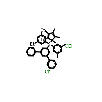 CCc1cc(CC)cc([Si](c2cc(C)cc(C)c2)(c2cc(-c3ccccc3)cc(-c3ccccc3)c2)C2(C)C(C)=C(C)C(C)=[C]2[Ti+3])c1.[Cl-].[Cl-].[Cl-]